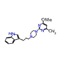 COc1cc(C)nc(N2CCN(CCCc3c[nH]c4ccccc34)CC2)n1